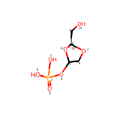 O=P(O)(O)OC1CO[C@H](CO)O1